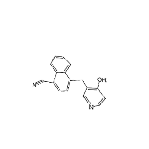 N#Cc1ccc(Cc2cnccc2O)c2ccccc12